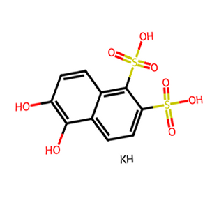 O=S(=O)(O)c1ccc2c(O)c(O)ccc2c1S(=O)(=O)O.[KH]